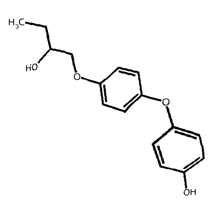 CCC(O)COc1ccc(Oc2ccc(O)cc2)cc1